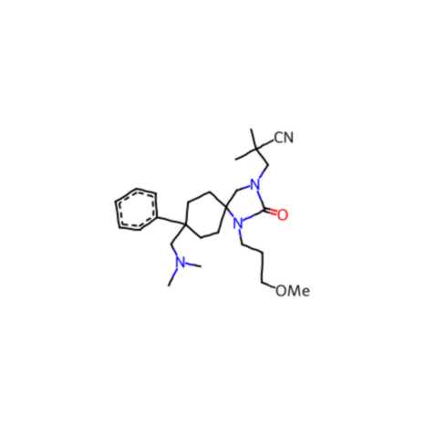 COCCCN1C(=O)N(CC(C)(C)C#N)CC12CCC(CN(C)C)(c1ccccc1)CC2